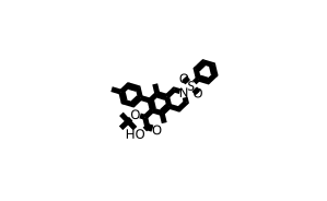 Cc1ccc(-c2c(C)c3c(c(C)c2C(OC(C)(C)C)C(=O)O)CCN(S(=O)(=O)c2ccccc2)C3)cc1